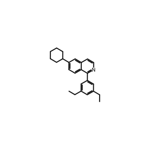 CCc1cc(CC)cc(-c2nccc3cc(C4CCCCC4)ccc23)c1